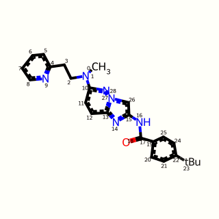 CN(CCc1ccccn1)c1ccc2nc(NC(=O)c3ccc(C(C)(C)C)cc3)cn2n1